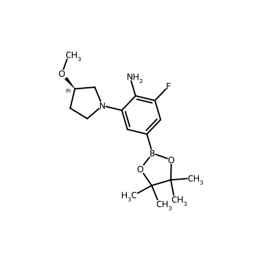 CO[C@@H]1CCN(c2cc(B3OC(C)(C)C(C)(C)O3)cc(F)c2N)C1